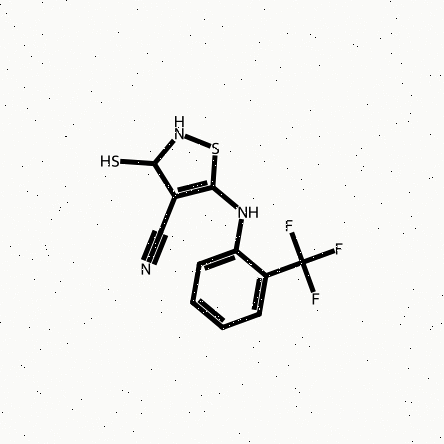 N#CC1=C(Nc2ccccc2C(F)(F)F)SNC1S